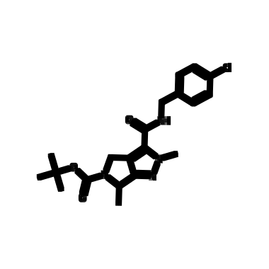 CC1c2nn(C)c(C(=O)NCc3ccc(Cl)cc3)c2CN1C(=O)OC(C)(C)C